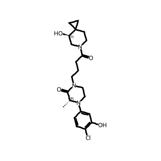 C[C@@H]1C(=O)N(CCCC(=O)N2CCC3(CC3)[C@H](O)C2)CCN1c1ccc(Cl)c(O)c1